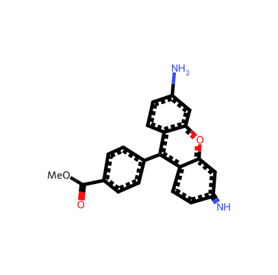 COC(=O)c1ccc(-c2c3ccc(=N)cc-3oc3cc(N)ccc23)cc1